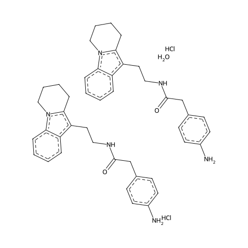 Cl.Cl.Nc1ccc(CC(=O)NCCc2c3n(c4ccccc24)CCCC3)cc1.Nc1ccc(CC(=O)NCCc2c3n(c4ccccc24)CCCC3)cc1.O